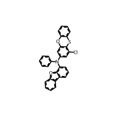 Clc1cc(N(c2ccccc2)c2cccc3c2oc2ccccc23)cc2c1Sc1ccccc1O2